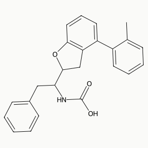 Cc1ccccc1-c1cccc2c1CC(C(Cc1ccccc1)NC(=O)O)O2